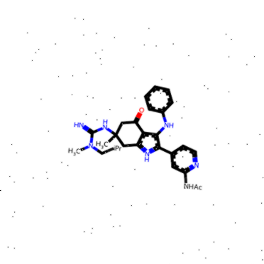 CC(=O)Nc1cc(-c2[nH]c3c(c2Nc2ccccc2)C(=O)CC(C)(NC(=N)N(C)CC(C)C)C3)ccn1